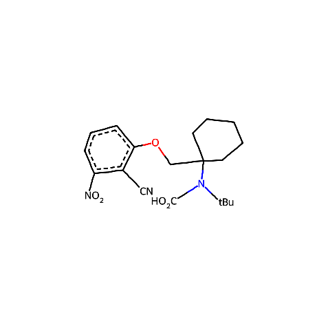 CC(C)(C)N(C(=O)O)C1(COc2cccc([N+](=O)[O-])c2C#N)CCCCC1